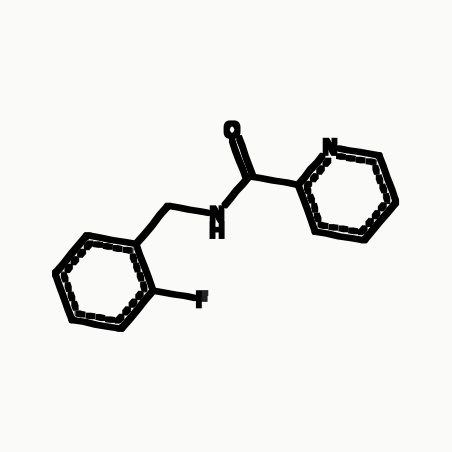 O=C(NCc1ccccc1F)c1ccccn1